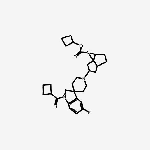 O=C(C1CCC1)N1CC2(CCN(C3CC4CCC5N(C(=O)OC6CCC6)C45C3)CC2)c2cc(F)ccc21